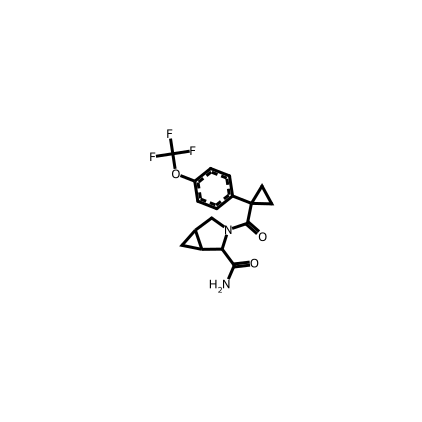 NC(=O)C1C2CC2CN1C(=O)C1(c2ccc(OC(F)(F)F)cc2)CC1